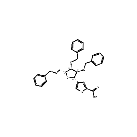 O=C(O)c1nc([C@@H]2O[C@H](COCc3ccccc3)[C@@H](OCc3ccccc3)[C@H]2OCc2ccccc2)co1